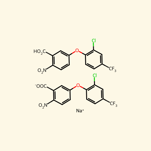 O=C(O)c1cc(Oc2ccc(C(F)(F)F)cc2Cl)ccc1[N+](=O)[O-].O=C([O-])c1cc(Oc2ccc(C(F)(F)F)cc2Cl)ccc1[N+](=O)[O-].[Na+]